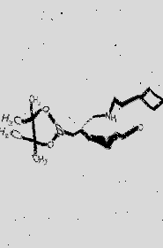 CC1(C)OB([C@@H](/C=C\C=O)CNCC2CCC2)OC1(C)C